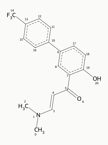 CN(C)C=CC(=O)c1cc(-c2ccc(C(F)(F)F)cc2)ccc1O